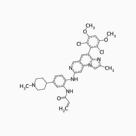 C=CC(=O)Nc1cc(C2CCN(C)CC2)ccc1Nc1cc2c(cn1)cc(-c1c(Cl)c(OC)cc(OC)c1Cl)c1nc(C)cn12